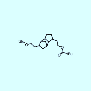 CC(C)(C)OCCC1CC2CC1C1CCC(CCOC(=O)C(C)(C)C)C21